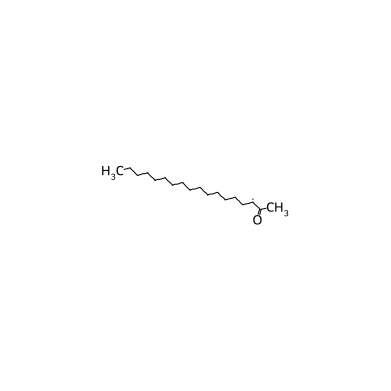 CCCCCCCCCCCCCCC[CH]C(C)=O